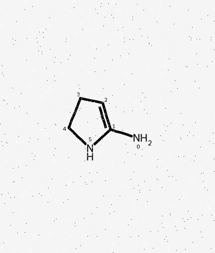 NC1=CCCN1